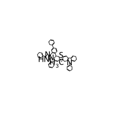 CC12Cc3c(c4c(n3C3=CC=CCC3)=CCCC=4)C=C1SC1C(c3ccc(C4=CC=CCC4)cc3C3=NC(C4=CCCC=C4)NC(C4=CC=CCC4)=N3)CC=CC12